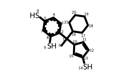 CC(c1ccc(S)cc1S)(C1C=CC(S)=C1)C1CCCCC1